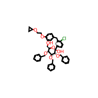 OC[C@H]1O[C@](O)(c2ccc(Cl)c(Cc3ccc(OCCOC4CC4)cc3)c2)[C@H](OCc2ccccc2)[C@@H](OCc2ccccc2)[C@@H]1OCc1ccccc1